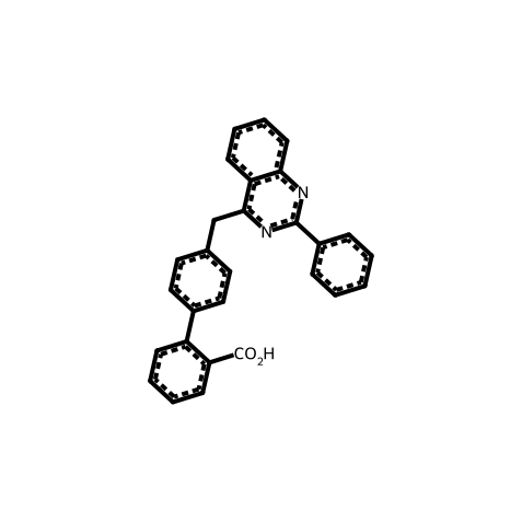 O=C(O)c1ccccc1-c1ccc(Cc2nc(-c3ccccc3)nc3ccccc23)cc1